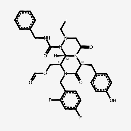 O=COC[C@H]1[C@H]2N(C(=O)CN(CI)N2C(=O)NCc2ccccc2)[C@@H](Cc2ccc(O)cc2)C(=O)N1Cc1ccc(F)cc1F